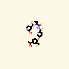 CC(O)c1ccc(Oc2ccc([C@@H](C)NC(=O)C3(NC(=O)c4ccnc(O)c4)CC3)nc2)c(C(F)(F)F)c1